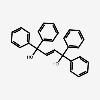 OC(/C=C/C(O)(c1ccccc1)c1ccccc1)(c1ccccc1)c1ccccc1